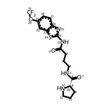 O=C(CCCNC(=O)[C@@H]1CCCN1)Nc1nc2ccc(OC(F)(F)F)cc2s1